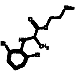 CCc1cccc(CC)c1NC(C)C(=O)OCCSC